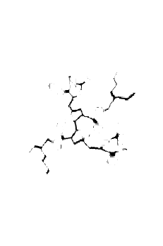 CCCCC(CC)COC(=O)c1cc(/C=C2\SC(=S)N(C)C2=O)oc1-c1oc(/C=C2\SC(=S)N(C)C2=O)cc1C(=O)OCC(CC)CCCC